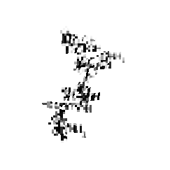 CO[C@@H]1[C@H](OP(=O)([O-])OC[C@H]2O[C@@H](n3ccc(=O)[nH]c3=O)[C@H](O)[C@@H]2O)C(COP(O)(=S)OP(=O)(O)OP(=O)(O)OC[C@H]2O[C@@H](n3c[n+](C)c4c(=O)[nH]c(N)nc43)[C@H](O)[C@@H]2CC(=O)N(C)C)O[C@H]1n1cnc2c(N)ncnc21